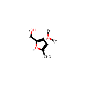 CCOCC.O=Cc1ccc(CO)o1